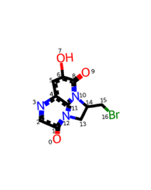 O=c1cnc2cc(O)c(=O)n3c2n1CC3CBr